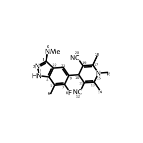 CNc1n[nH]c2c(C)c(F)c(C3C(C#N)=C(C)N(C)C(C)=C3C#N)cc12